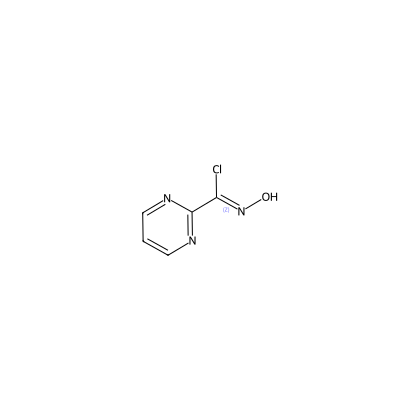 O/N=C(\Cl)c1ncccn1